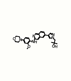 COc1cc(N2CCOCC2)ccc1Nc1cc2cc(-c3cnn(CC(C)(C)O)c3)ccc2cn1